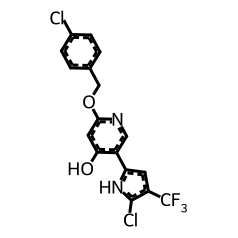 Oc1cc(OCc2ccc(Cl)cc2)ncc1-c1cc(C(F)(F)F)c(Cl)[nH]1